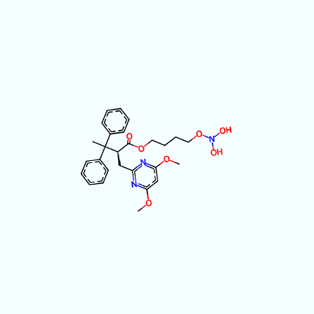 COc1cc(OC)nc(C[C@H](C(=O)OCCCCON(O)O)C(C)(c2ccccc2)c2ccccc2)n1